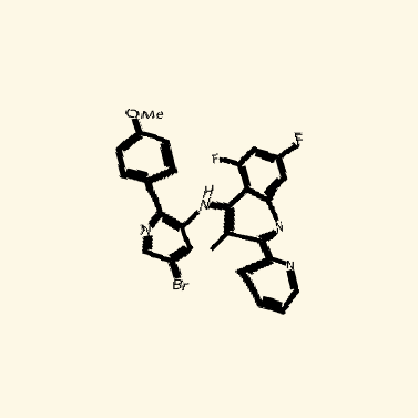 COc1ccc(-c2ncc(Br)cc2Nc2c(C)c(-c3ccccn3)nc3cc(F)cc(F)c23)cc1